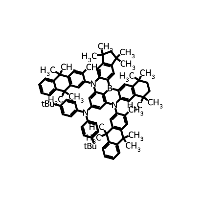 Cc1cc2c(cc1N1c3cc4c(cc3B3c5cc6c(cc5N(c5cc7c(cc5C)C(C)(C)c5ccccc5C7(C)C)c5cc(N(c7ccc(C(C)(C)C)cc7)c7ccc(C(C)(C)C)cc7)cc1c53)C(C)(C)CC6(C)C)C(C)(C)CCC4(C)C)C(C)(C)c1ccccc1C2(C)C